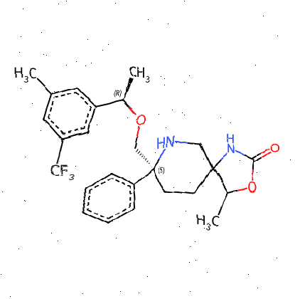 Cc1cc([C@@H](C)OC[C@@]2(c3ccccc3)CCC3(CN2)NC(=O)OC3C)cc(C(F)(F)F)c1